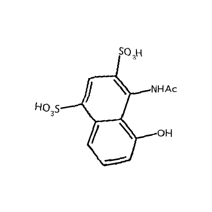 CC(=O)Nc1c(S(=O)(=O)O)cc(S(=O)(=O)O)c2cccc(O)c12